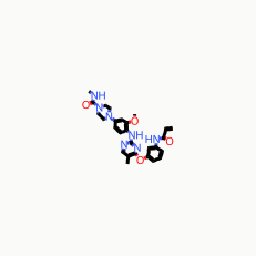 C=CC(=O)Nc1cccc(Oc2nc(Nc3ccc(N4CCN(C(=O)NC)CC4)cc3OC)ncc2C)c1